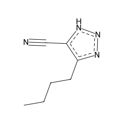 CCCCc1nn[nH]c1C#N